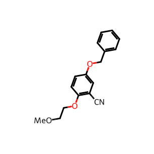 COCCOc1ccc(OCc2ccccc2)cc1C#N